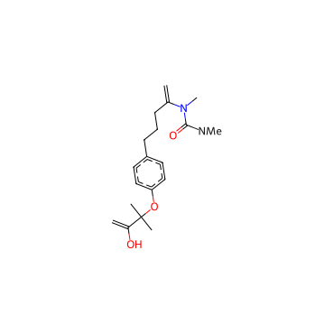 C=C(CCCc1ccc(OC(C)(C)C(=C)O)cc1)N(C)C(=O)NC